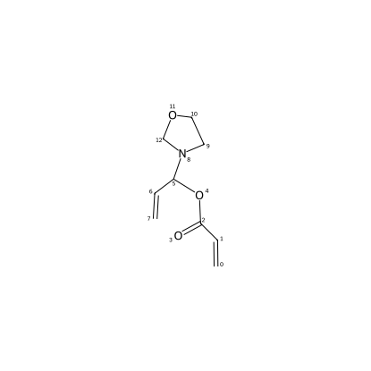 C=CC(=O)OC(C=C)N1CCOC1